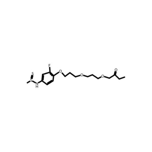 CCC(=O)COCCCOCCCOc1ccc(NS(C)=S)cc1F